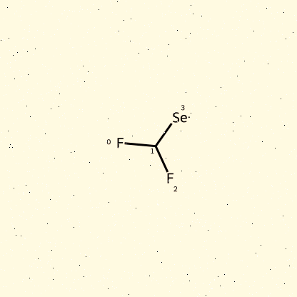 FC(F)[Se]